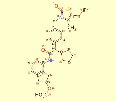 Cc1c(CC(C)C)sc(=O)n1Cc1ccc(C(C(=O)Nc2cccc3c2CC(OC(=O)O)C3)C2CCCC2)cc1